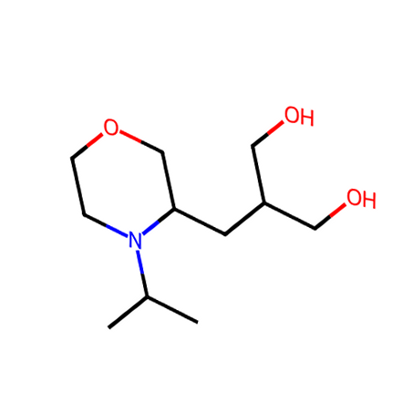 CC(C)N1CCOCC1CC(CO)CO